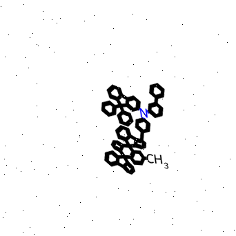 CC1C=CC2=C(C1)C1(c3ccccc3-c3c(-c4ccc(N(c5cccc(-c6ccccc6)c5)c5ccc6c(c5)C(c5ccccc5)(c5ccccc5)c5ccccc5-6)cc4)cccc31)c1ccccc1C21c2ccccc2-c2ccccc21